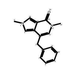 Cn1cc2c(Cc3ccccc3)cn(C)c(=O)c2c1